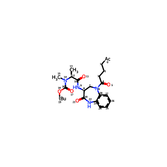 CC(=O)CCCC(=O)N1C[C@H](NC(=O)[C@H](C)N(C)C(=O)OC(C)(C)C)C(=O)Nc2ccccc21